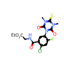 CCOC(=O)CNC(=O)c1cc(-n2c(=O)n(C)c(=S)n(C)c2=O)c(F)cc1Cl